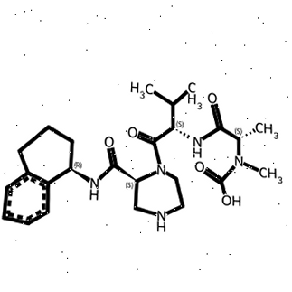 CC(C)[C@H](NC(=O)[C@H](C)N(C)C(=O)O)C(=O)N1CCNC[C@H]1C(=O)N[C@@H]1CCCc2ccccc21